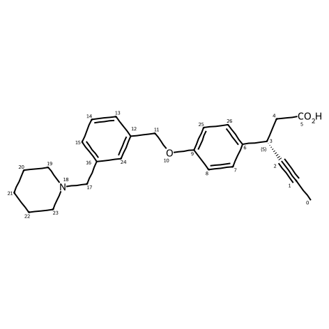 CC#C[C@@H](CC(=O)O)c1ccc(OCc2cccc(CN3CCCCC3)c2)cc1